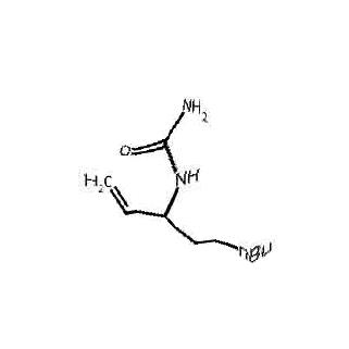 C=CC(CCCCC)NC(N)=O